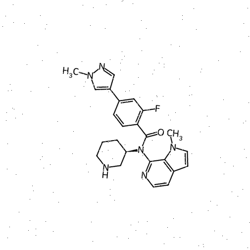 Cn1cc(-c2ccc(C(=O)N(c3nccc4ccn(C)c34)[C@@H]3CCCNC3)c(F)c2)cn1